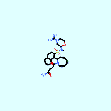 CN(C1CN(C(=N)N)CCO1)S(=O)(=O)C1CCC2CC=CC=C2C1C1\C=C/C=C\C=C/N1C(=O)CCC(N)=O.Cl